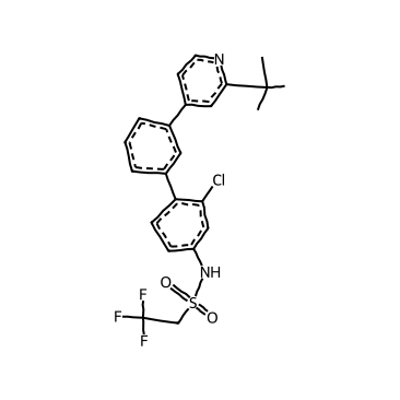 CC(C)(C)c1cc(-c2cccc(-c3ccc(NS(=O)(=O)CC(F)(F)F)cc3Cl)c2)ccn1